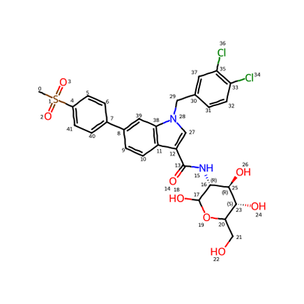 CS(=O)(=O)c1ccc(-c2ccc3c(C(=O)N[C@H]4C(O)OC(CO)[C@@H](O)[C@@H]4O)cn(Cc4ccc(Cl)c(Cl)c4)c3c2)cc1